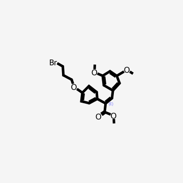 COC(=O)/C(=C/c1cc(OC)cc(OC)c1)c1ccc(OCCCBr)cc1